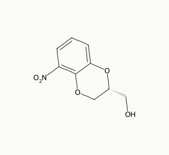 O=[N+]([O-])c1cccc2c1OC[C@@H](CO)O2